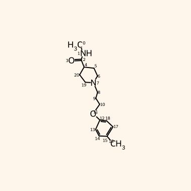 CNC(=O)C1CCN(CCCOc2ccc(C)cc2)CC1